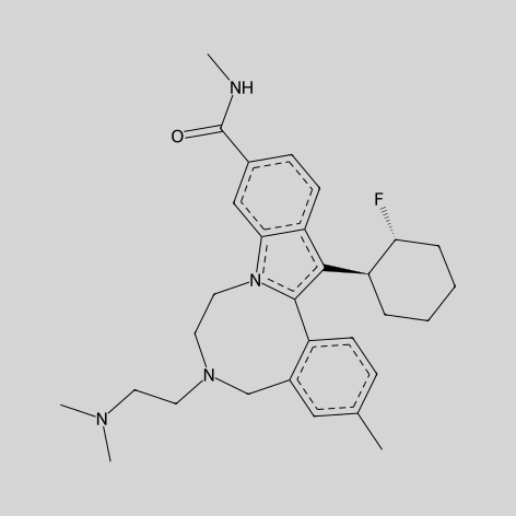 CNC(=O)c1ccc2c([C@@H]3CCCC[C@H]3F)c3n(c2c1)CCN(CCN(C)C)Cc1cc(C)ccc1-3